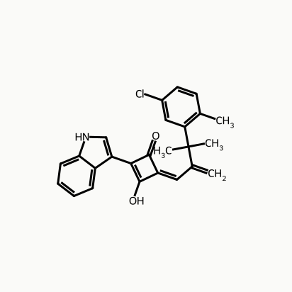 C=C(/C=C1\C(=O)C(c2c[nH]c3ccccc23)=C1O)C(C)(C)c1cc(Cl)ccc1C